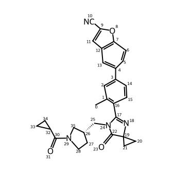 Cc1cc(-c2ccc3oc(C#N)cc3c2)ccc1C1=NC2(CC2)C(=O)N1C[C@@H]1CCN(C(=O)C2CC2)C1